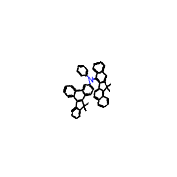 CC1(C)c2cc3ccccc3c(N(c3ccccc3)c3ccc4c5c(c6ccccc6c4c3)-c3ccccc3C5(C)C)c2-c2ccc3ccccc3c21